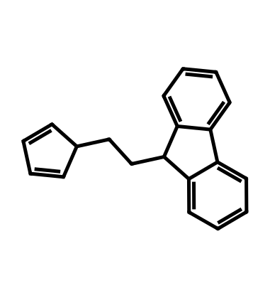 C1=CC(CCC2c3ccccc3-c3ccccc32)C=C1